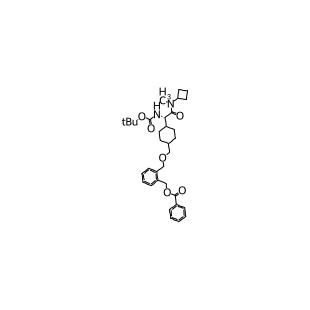 CN(C(=O)[C@@H](NC(=O)OC(C)(C)C)C1CCC(COCc2ccccc2COC(=O)c2ccccc2)CC1)C1CCC1